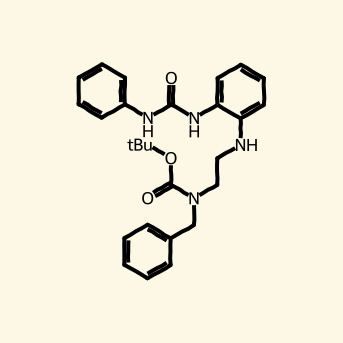 CC(C)(C)OC(=O)N(CCNc1ccccc1NC(=O)Nc1ccccc1)Cc1ccccc1